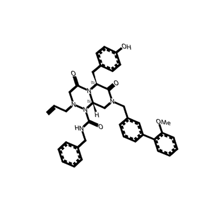 C=CCN1CC(=O)N2[C@@H](Cc3ccc(O)cc3)C(=O)N(Cc3cccc(-c4ccccc4OC)c3)C[C@@H]2N1C(=O)NCc1ccccc1